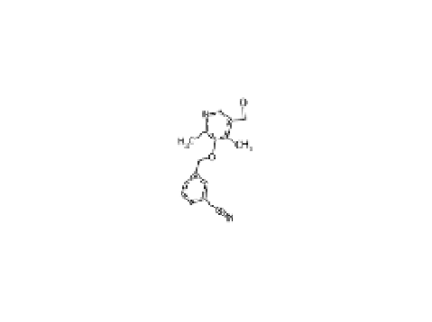 Cc1ncc(C=O)c(C)c1OCc1cccc(C#N)c1